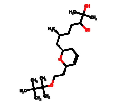 C[C@@H](CCC(O)C(C)(C)O)C[C@@H]1CC=C[C@@H](CCO[Si](C)(C)C(C)(C)C)O1